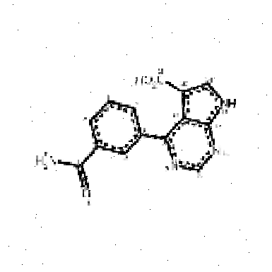 NC(=O)c1cccc(-c2ncnc3[nH]cc(C(=O)O)c23)c1